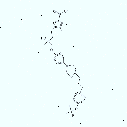 CC(O)(CCn1cc([N+](=O)[O-])nc1Cl)COc1ccc(N2CCC(CCCc3ccc(OC(F)(F)F)cc3)CC2)cc1